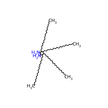 CCCCCCCCCCCCCCCCCCCCc1c(N)c(N)c(CCCCCCCCCCCCCCCCCCCC)c(CCCCCCCCCCCCCCCCCCCC)c1CCCCCCCCCCCCCCCCCCCC